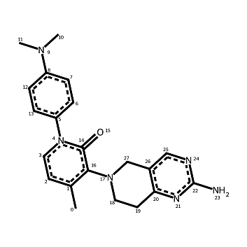 Cc1ccn(-c2ccc(N(C)C)cc2)c(=O)c1N1CCc2nc(N)ncc2C1